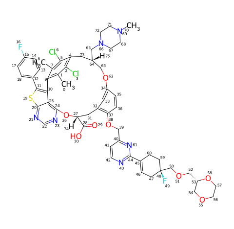 Cc1c(Cl)c2c(Cl)c(C)c1-c1c(-c3ccc(F)cc3)sc3ncnc(c13)O[C@@H](C(=O)O)Cc1cc(ccc1OCc1ccnc(C3=CC[C@@](F)(COC[C@H]4COCCO4)CC3)n1)OC[C@@H](CN1CCN(C)CC1)C2